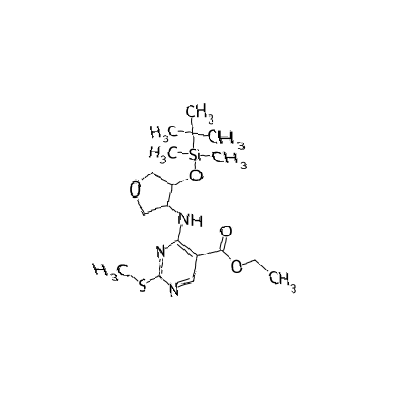 CCOC(=O)c1cnc(SC)nc1NC1COCC1O[Si](C)(C)C(C)(C)C